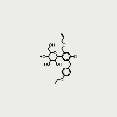 C=CCOCc1cc(Cl)c(Cc2ccc(OCC)cc2)cc1C1OC(CO)C(O)C(O)C1O